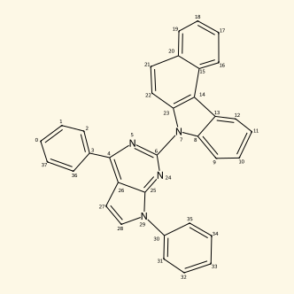 c1ccc(-c2nc(-n3c4ccccc4c4c5ccccc5ccc43)nc3c2ccn3-c2ccccc2)cc1